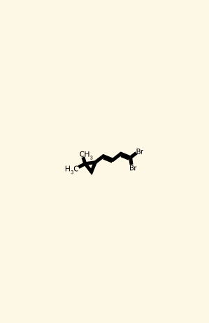 CC1(C)CC1C=CC=C(Br)Br